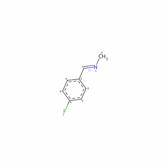 C/N=C/c1ccc(F)cc1